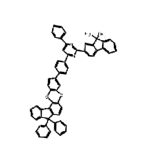 CC1(C)c2ccccc2-c2ccc(-c3nc(-c4ccccc4)cc(-c4ccc(-c5ccc6c(c5)Oc5ccc7c(c5O6)-c5ccccc5C7(c5ccccc5)c5ccccc5)cc4)n3)cc21